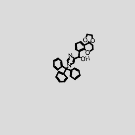 OC(c1cn(C(c2ccccc2)(c2ccccc2)c2ccccc2)cn1)c1cccc2c1OCCC21OCCO1